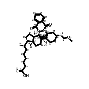 COCOC1CC[C@]2(C)[C@H]3CC[C@]4(C)[C@@H]([C@H](C)CCCCCC(=O)O)CC[C@H]4C34C=CC2(C1)n1c(=O)c2ccccc2c(=O)n14